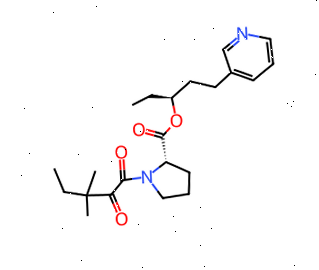 CC[C@@H](CCc1cccnc1)OC(=O)[C@@H]1CCCN1C(=O)C(=O)C(C)(C)CC